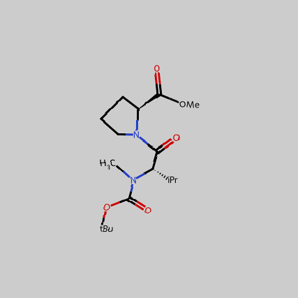 COC(=O)[C@@H]1CCCN1C(=O)[C@H](C(C)C)N(C)C(=O)OC(C)(C)C